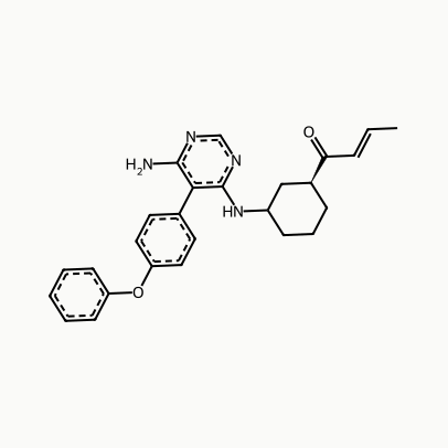 C/C=C/C(=O)[C@H]1CCCC(Nc2ncnc(N)c2-c2ccc(Oc3ccccc3)cc2)C1